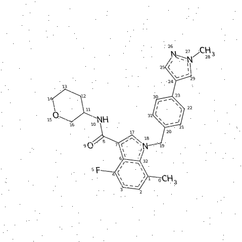 Cc1ccc(F)c2c(C(=O)NC3CCCOC3)cn(Cc3ccc(-c4cnn(C)c4)cc3)c12